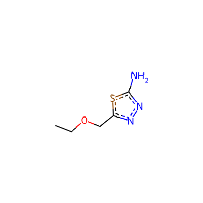 CCOCc1nnc(N)s1